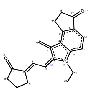 C=c1/c(=C\C=C2/CCCC2=O)n(CC)c2ccc3c(c12)CCC3=O